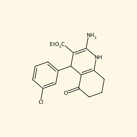 CCOC(=O)C1=C(N)NC2=C(C(=O)CCC2)C1c1cccc(Cl)c1